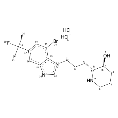 Cl.Cl.O[C@H]1CCCN[C@@H]1CCCn1cnc2cc(C(F)(F)F)cc(Br)c21